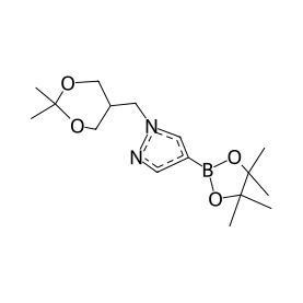 CC1(C)OCC(Cn2cc(B3OC(C)(C)C(C)(C)O3)cn2)CO1